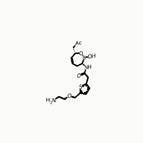 CC(=O)C[C@H]1C=CC[C@H](NC(=O)Cc2ccc(COCCN)s2)B(O)O1